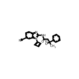 CC(O)(CC(=O)Nc1nc2ccc(C#N)cc2n1C1=CC=C1)c1ccccc1